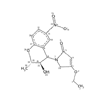 CCOC1=CC(=O)N(C2c3cc([N+](=O)[O-])ccc3O[C@@H](C)[C@@H]2O)C1